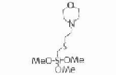 CO[Si](CSCCN1CCOCC1)(OC)OC